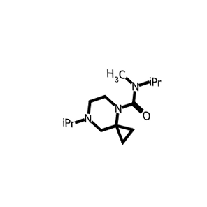 CC(C)N1CCN(C(=O)N(C)C(C)C)C2(CC2)C1